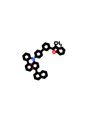 Cc1c(-c2cccc(-c3ccc(N(c4ccc(-c5cccc6ccccc56)cc4)c4ccccc4-c4ccccc4)cc3)c2)oc2ccccc12